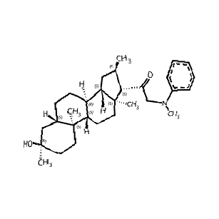 C[C@@H]1C[C@H]2[C@@H]3CC[C@H]4C[C@](C)(O)CC[C@]4(C)[C@H]3CC[C@]2(C)[C@H]1C(=O)CN(C)c1ccccc1